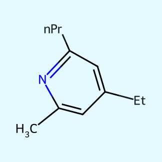 CCCc1cc(CC)cc(C)n1